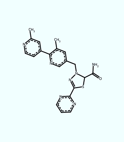 Cc1cc(-c2ncc(CN3N=C(c4ncccn4)SC3C(N)=O)cc2C)ccn1